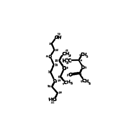 CC(=O)OC(C)C.CCOCC.OCCOCCOCCO